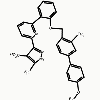 Cc1cc(-c2ccc(OC(F)(F)F)cc2)ccc1COc1ccccc1-c1cccc(-c2n[nH]c(C(F)(F)F)c2C(=O)O)n1